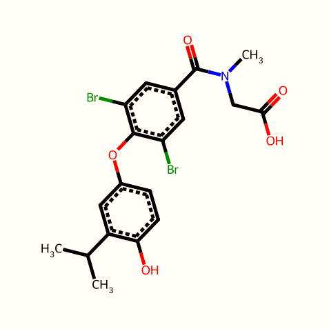 CC(C)c1cc(Oc2c(Br)cc(C(=O)N(C)CC(=O)O)cc2Br)ccc1O